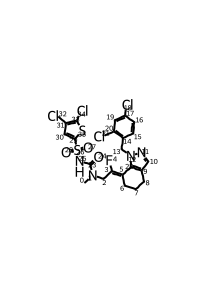 CN(C/C(F)=C1\CCCc2cnn(Cc3ccc(Cl)cc3Cl)c21)C(=O)NS(=O)(=O)c1cc(Cl)c(Cl)s1